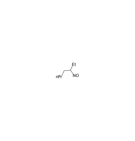 CCCCC(CC)N=O